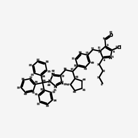 CCCCc1nc(Cl)c(C=O)n1Cc1ccc(C(Cc2nnn(C(c3ccccc3)(c3ccccc3)c3ccccc3)n2)C2CCCC2)cc1